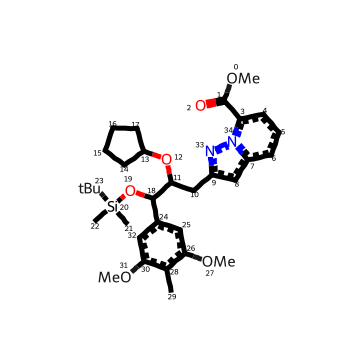 COC(=O)c1cccc2cc(CC(OC3CCCC3)C(O[Si](C)(C)C(C)(C)C)c3cc(OC)c(C)c(OC)c3)nn12